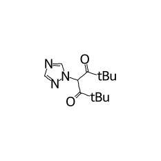 CC(C)(C)C(=O)C(C(=O)C(C)(C)C)n1cncn1